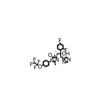 Cc1nn([C@H](C)[C@](O)(Cn2cncn2)c2ccc(F)cc2F)c(=O)n1-c1ccc(OC(F)(F)C(F)F)cc1